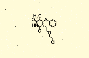 Cc1c(Sc2ccccc2)n(CCOCCO)c(=O)[nH]c1=O